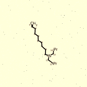 C=CCCCCCCC[CH2][Al]([CH2]C(C)C)[CH2]C(C)C